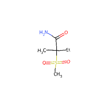 CCC(C)(C(N)=O)S(C)(=O)=O